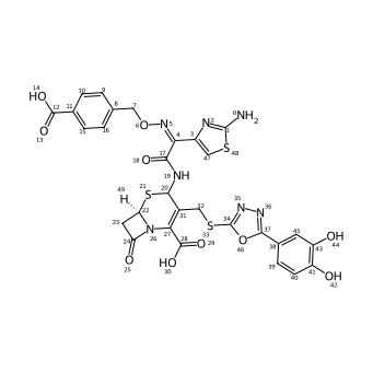 Nc1nc(/C(=N/OCc2ccc(C(=O)O)cc2)C(=O)NC2S[C@@H]3CC(=O)N3C(C(=O)O)=C2CSc2nnc(-c3ccc(O)c(O)c3)o2)cs1